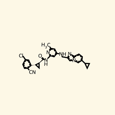 Cc1cc(NCc2cn3cc(C4CC4)ccc3n2)cc(NC(=O)[C@H]2C[C@@H]2c2cc(Cl)ccc2C#N)n1